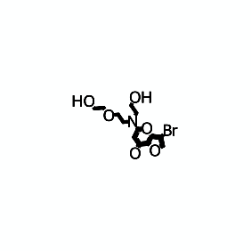 O=c1cc(N(CCO)CCOCCO)oc2c(Br)coc12